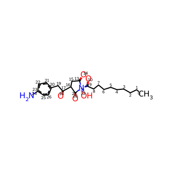 CCCCCCCCCC(=O)[N+]1(O)C(=O)CC(C(=O)Cc2ccc(N)cc2)C1=O